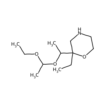 CCOC(C)OC(C)C1(CC)CNCCO1